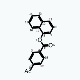 CC(=O)c1ccc(C(=O)Oc2cccc3ccccc23)cc1